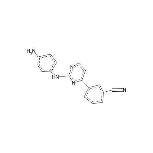 N#Cc1cccc(-c2ccnc(Nc3ccc(N)cc3)n2)c1